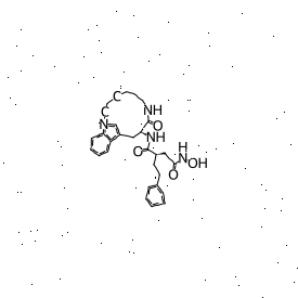 O=C(C[C@@H](CCc1ccccc1)C(=O)N[C@H]1Cc2cn(c3ccccc23)CCCCCCNC1=O)NO